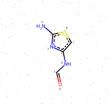 Nc1nc(NC=O)cs1